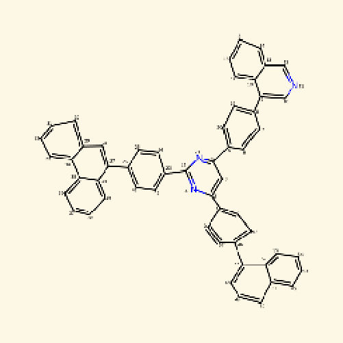 c1c(-c2cc(-c3ccc(-c4cncc5ccccc45)cc3)nc(-c3ccc(-c4cc5ccccc5c5ccccc45)cc3)n2)ccc(-c2cccc3ccccc23)c#1